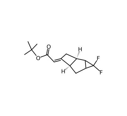 CC(C)(C)OC(=O)C=C1C[C@H]2C3C(C[C@@H]12)C3(F)F